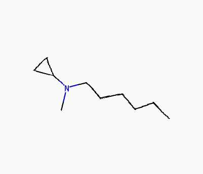 CCCCCCN(C)C1CC1